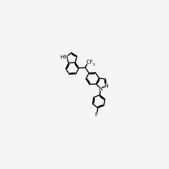 Fc1ccc(-n2ncc3cc([C](c4cccc5[nH]ccc45)C(F)(F)F)ccc32)cc1